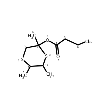 CC1SCC(C)(OC(=O)CCCl)SC1C